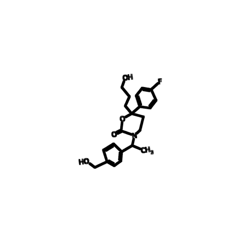 CC(c1ccc(CO)cc1)N1CCC(CCCO)(c2ccc(F)cc2)OC1=O